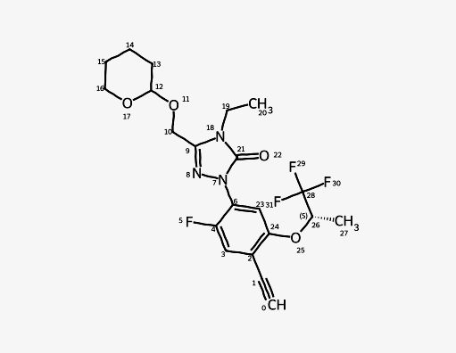 C#Cc1cc(F)c(-n2nc(COC3CCCCO3)n(CC)c2=O)cc1O[C@@H](C)C(F)(F)F